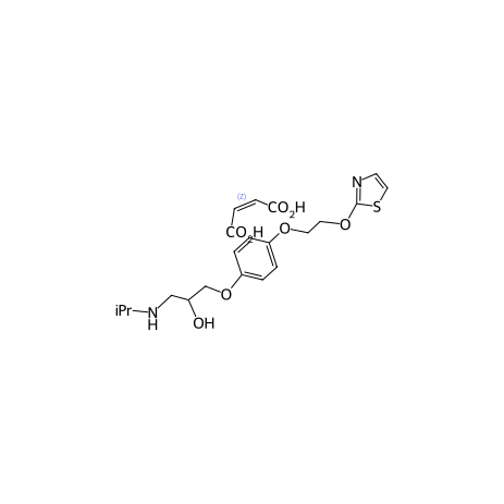 CC(C)NCC(O)COc1ccc(OCCOc2nccs2)cc1.O=C(O)/C=C\C(=O)O